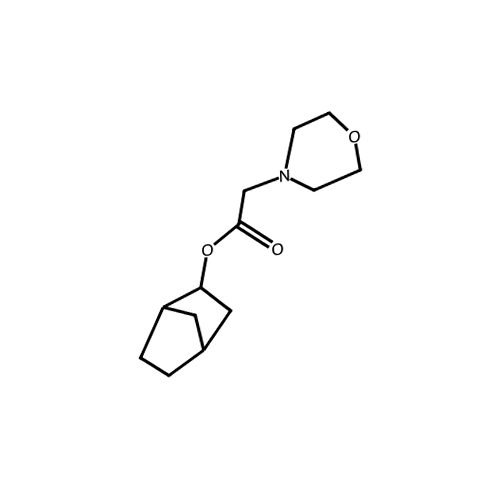 O=C(CN1CCOCC1)OC1CC2CCC1C2